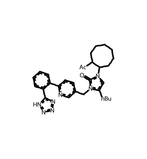 CCCCc1cn(C2CCCCCCC2C(C)=O)c(=O)n1Cc1ccc(-c2ccccc2-c2nnn[nH]2)nc1